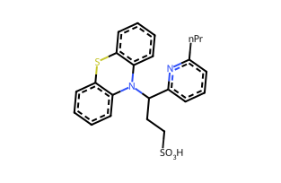 CCCc1cccc(C(CCS(=O)(=O)O)N2c3ccccc3Sc3ccccc32)n1